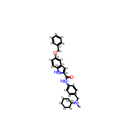 CN(Cc1ccc(NC(=O)c2cc3cc(OCc4ccccc4)ccc3[nH]2)cc1)C1CCCCC1